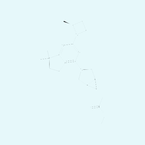 COC(=O)C[C@@H]1[C@H]2CN(c3nc(N4CC[C@@H]4C)nc4c3CCC4(F)F)C[C@@H]12